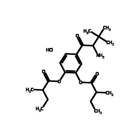 CCC(C)C(=O)Oc1ccc(C(=O)C(N)C(C)(C)C)cc1OC(=O)C(C)CC.Cl